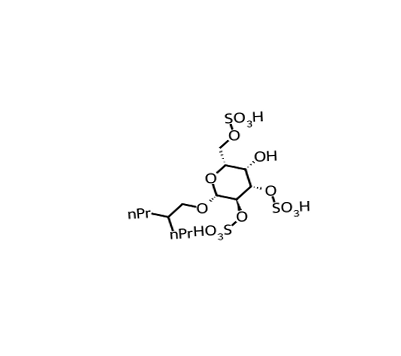 CCCC(CCC)CO[C@@H]1O[C@H](COS(=O)(=O)O)[C@H](O)[C@H](OS(=O)(=O)O)[C@H]1OS(=O)(=O)O